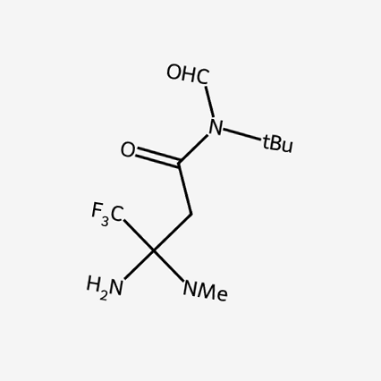 CNC(N)(CC(=O)N(C=O)C(C)(C)C)C(F)(F)F